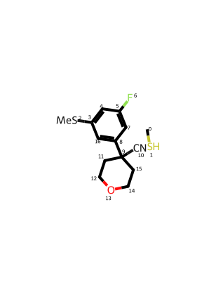 CS.CSc1cc(F)cc(C2(C#N)CCOCC2)c1